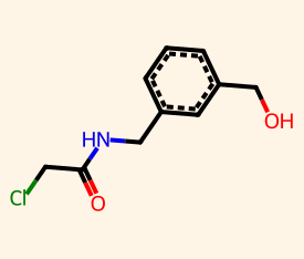 O=C(CCl)NCc1cccc(CO)c1